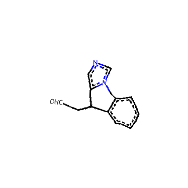 O=CCC1c2ccccc2-n2cncc21